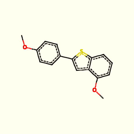 COc1ccc(-c2cc3c(OC)cccc3s2)cc1